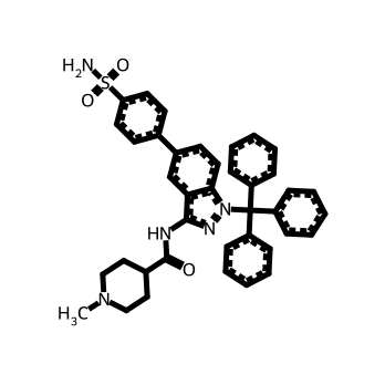 CN1CCC(C(=O)Nc2nn(C(c3ccccc3)(c3ccccc3)c3ccccc3)c3ccc(-c4ccc(S(N)(=O)=O)cc4)cc23)CC1